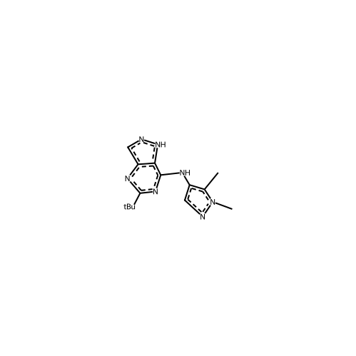 Cc1c(Nc2nc(C(C)(C)C)nc3cn[nH]c23)cnn1C